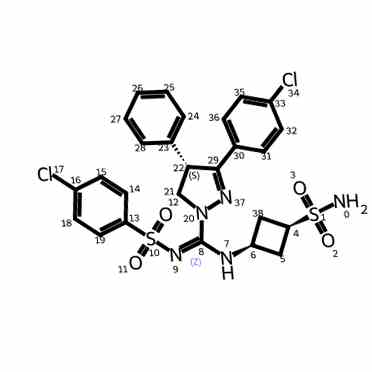 NS(=O)(=O)[C@H]1C[C@@H](N/C(=N/S(=O)(=O)c2ccc(Cl)cc2)N2C[C@H](c3ccccc3)C(c3ccc(Cl)cc3)=N2)C1